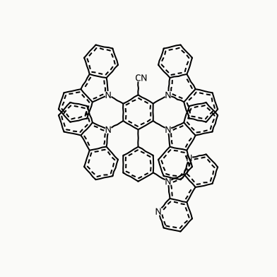 N#Cc1c(-n2c3ccccc3c3ccccc32)c(-n2c3ccccc3c3ccccc32)c(-c2cccc(-n3c4ncccc4c4cccnc43)c2)c(-n2c3ccccc3c3ccccc32)c1-n1c2ccccc2c2ccccc21